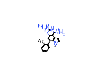 CC(=O)c1ccccc1-c1cc2nc(N)nc(N)c2c2ccn(C)c12